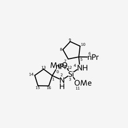 CCCC1(N[Si](NC2(CCC)CCCC2)(OC)OC)CCCC1